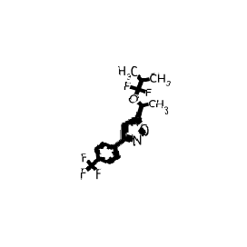 CC(OC(F)(F)C(C)C)c1cc(-c2ccc(C(F)(F)F)cc2)no1